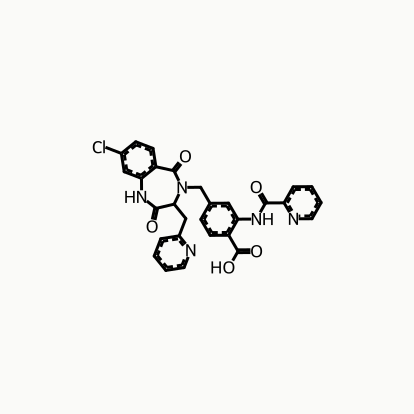 O=C(Nc1cc(CN2C(=O)c3ccc(Cl)cc3NC(=O)C2Cc2ccccn2)ccc1C(=O)O)c1ccccn1